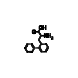 N[C@@H](Cc1ccccc1-c1ccccc1)C(=O)O